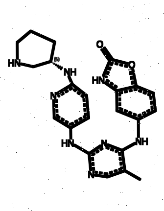 Cc1cnc(Nc2ccc(N[C@H]3CCCNC3)nc2)nc1Nc1ccc2oc(=O)[nH]c2c1